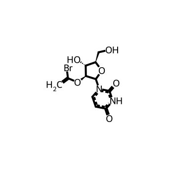 C=C(Br)O[C@@H]1C(n2ccc(=O)[nH]c2=O)O[C@H](CO)[C@H]1O